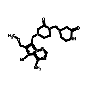 COCc1c(Br)c2c(N)ncnn2c1CN1CCN(CN2CCNC(=O)C2)C(=O)C1